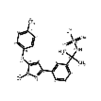 CCn1nc(-c2cccc(C(C)(C)NS(=O)(=O)CC)c2)cc1Oc1ccc(C(F)(F)F)cc1